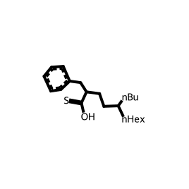 CCCCCCC(CCCC)CCC(Cc1ccccc1)C(O)=S